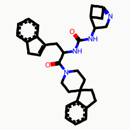 O=C(NC(CC1=CCc2ccccc21)C(=O)N1CCC2(CCc3ccccc32)CC1)NC1CN=C2CC1C2